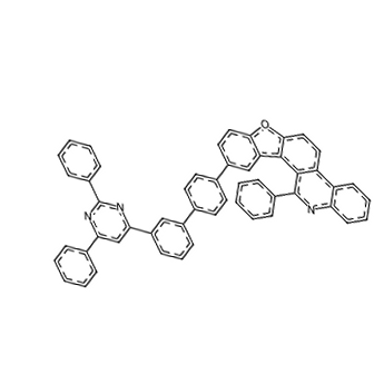 c1ccc(-c2cc(-c3cccc(-c4ccc(-c5ccc6oc7ccc8c9ccccc9nc(-c9ccccc9)c8c7c6c5)cc4)c3)nc(-c3ccccc3)n2)cc1